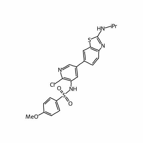 COc1ccc(S(=O)(=O)Nc2cc(-c3ccc4nc(NC(C)C)sc4c3)cnc2Cl)cc1